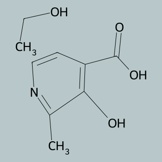 CCO.Cc1nccc(C(=O)O)c1O